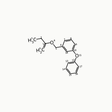 C=C(CC)OCc1cccc(Oc2ccccc2)c1